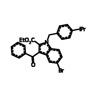 CCOC(=O)c1c(C(=O)c2ccccc2)c2cc(Br)ccc2n1Cc1ccc(C(C)C)cc1